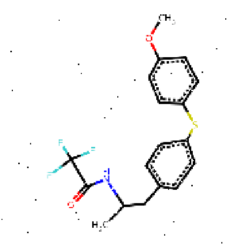 COc1ccc(Sc2ccc(CC(C)NC(=O)C(F)(F)F)cc2)cc1